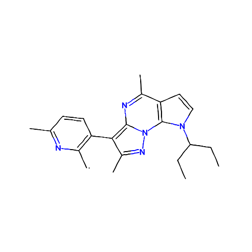 [CH2]c1nc(C)ccc1-c1c(C)nn2c1nc(C)c1ccn(C(CC)CC)c12